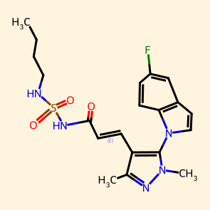 CCCCNS(=O)(=O)NC(=O)/C=C/c1c(C)nn(C)c1-n1ccc2cc(F)ccc21